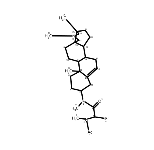 CC(=O)N(C)C(C(=O)N(C)C1CCC2(C)C(=CCC3C2CCC24CN(C)C(C)C2CCC34)C1)C(C)C